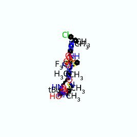 Cc1ncsc1-c1ccc([C@H](C)NC(=O)[C@@H]2C[C@@H](O)CN2C(=O)C(NC(=O)CCCCCC(=O)N2CC3(C)CN(CCC(CSc4ccccc4)Nc4ccc(S(=O)(=O)NC(=O)c5ccc(N6CCN(CC7=C(c8ccc(Cl)cc8)CCC(C)(C)C7)CC6)cc5)cc4S(=O)(=O)C(F)(F)F)CC3(C)C2)C(C)(C)C)cc1